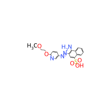 COCCOc1ccc(/N=N/c2cc(S(=O)(=O)O)c3ccccc3c2N)cn1